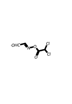 O=[C]C=NOC(=O)C(Cl)Cl